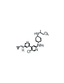 COC[C@H](C)N[C@H]1CC[C@H](Nc2cc(-c3cncc(NCC4CC4)c3)c(Cl)cn2)CC1